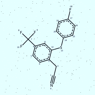 N#CCc1ccc(C(F)(F)F)cc1Sc1ccc(F)cc1